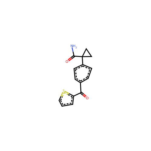 NC(=O)C1(c2ccc(C(=O)c3cccs3)cc2)CC1